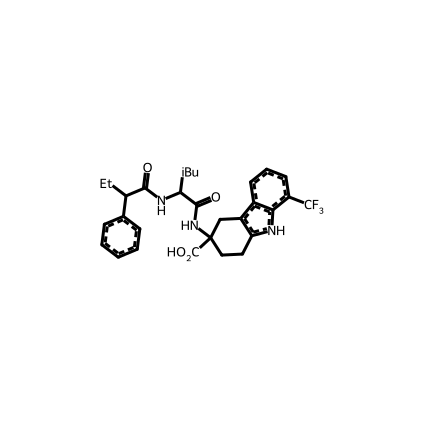 CCC(C(=O)NC(C(=O)NC1(C(=O)O)CCc2[nH]c3c(C(F)(F)F)cccc3c2C1)C(C)CC)c1ccccc1